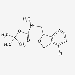 CN(CC1OCc2c(Cl)cccc21)C(=O)OC(C)(C)C